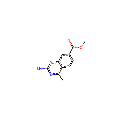 COC(=O)c1ccc2c(C)nc(N)nc2c1